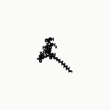 CCCCCCCCCCCCCCCC(=O)N[C@@H](CSC[C@@H](COC(C)=O)OC(C)=O)C(=O)N[C@@H](C)C(=O)N[C@H](CCC(=O)O)C(N)=O